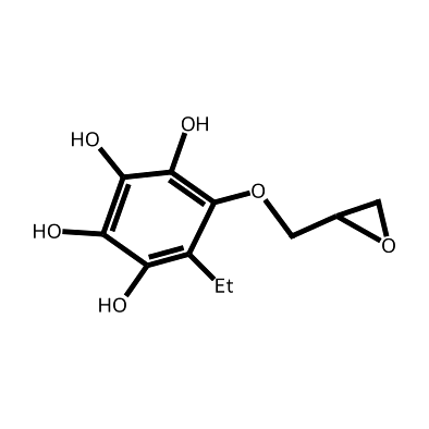 CCc1c(O)c(O)c(O)c(O)c1OCC1CO1